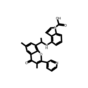 Cc1cc(C(C)Nc2cccc3c2ccn3C(=O)O)c2oc(-c3cccnc3)c(C)c(=O)c2c1